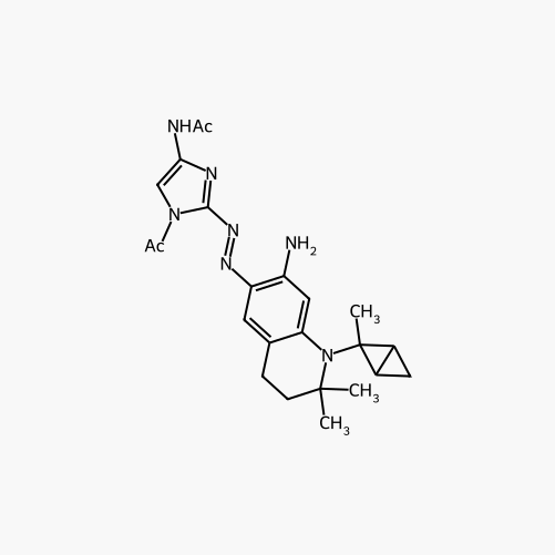 CC(=O)Nc1cn(C(C)=O)c(N=Nc2cc3c(cc2N)N(C2(C)C4CC42)C(C)(C)CC3)n1